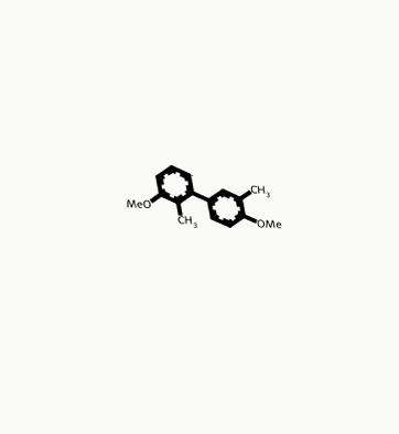 COc1ccc(-c2[c]ccc(OC)c2C)cc1C